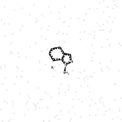 Bn1ncc2ccccc21.[K]